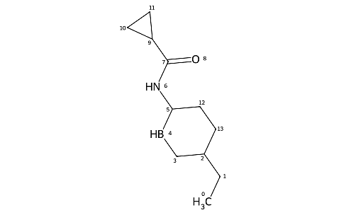 CCC1CBC(NC(=O)C2CC2)CC1